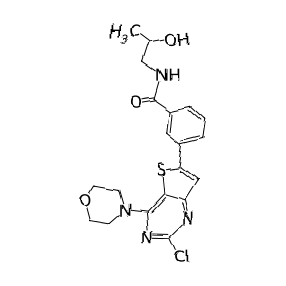 CC(O)CNC(=O)c1cccc(-c2cc3nc(Cl)nc(N4CCOCC4)c3s2)c1